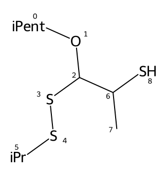 CCCC(C)OC(SSC(C)C)C(C)S